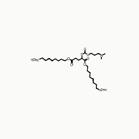 CCCCCCCCCCCCCCCCCCOC(=O)CCC(OC(=O)OCCCN(C)C)C(=O)OCCCCCCCCCCCCCCCCCC